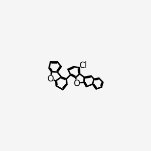 Clc1ccc(-c2cccc3oc4ccccc4c23)c2oc3cc4ccccc4cc3c12